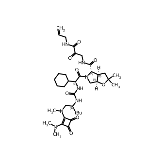 C=CCNC(=O)C(=O)CNC(=O)[C@@H]1[C@H]2CC(C)(C)O[C@H]2CN1C(=O)[C@@H](NC(=O)N[C@H](CN(C)c1c(N(C)C)c(=O)c1=O)C(C)(C)C)C1CCCCC1